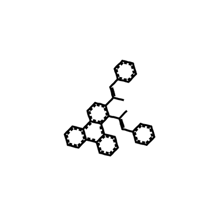 CC(=Cc1ccccc1)c1ccc2c3ccccc3c3ccccc3c2c1C(C)=Cc1ccccc1